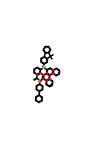 C=C(/C=C\C(=C(/C)c1cc#ccc1)c1ccccc1N(c1ccccc1)c1ccc2c(c1)C(C)(C)c1ccccc1-2)N(c1ccc(-c2ccccc2)cc1)c1ccc(-c2ccccc2)cc1